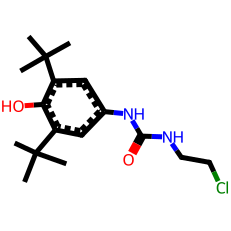 CC(C)(C)c1cc(NC(=O)NCCCl)cc(C(C)(C)C)c1O